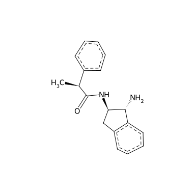 C[C@H](C(=O)N[C@@H]1Cc2ccccc2[C@H]1N)c1ccccc1